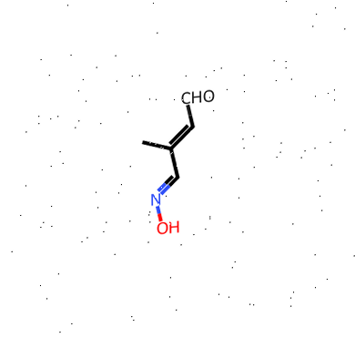 CC(/C=N/O)=C\C=O